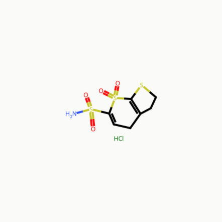 Cl.NS(=O)(=O)C1=CCC2=C(SCC2)S1(=O)=O